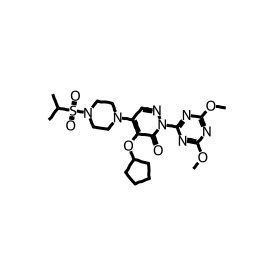 COc1nc(OC)nc(-n2ncc(N3CCN(S(=O)(=O)C(C)C)CC3)c(OC3CCCC3)c2=O)n1